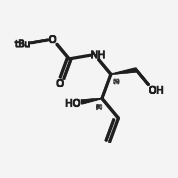 C=C[C@@H](O)[C@H](CO)NC(=O)OC(C)(C)C